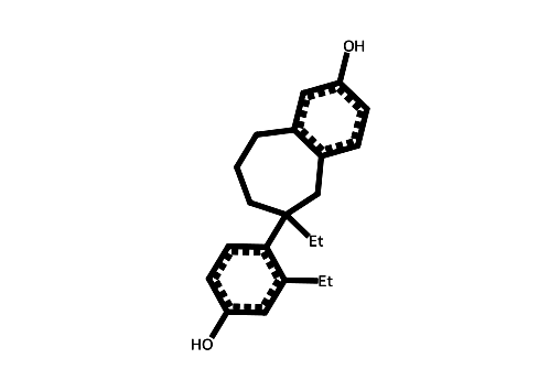 CCc1cc(O)ccc1C1(CC)CCCc2cc(O)ccc2C1